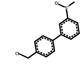 C[S+]([O-])c1cccc(-c2ccc(CCl)cc2)c1